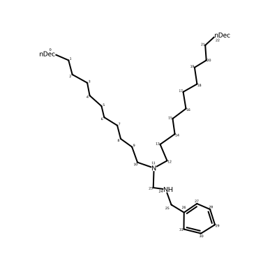 CCCCCCCCCCCCCCCCCCCCN(CCCCCCCCCCCCCCCCCCCC)CNCc1ccccc1